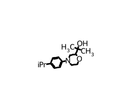 CC(C)c1ccc(N2CCOC(C(C)(C)O)C2)cc1